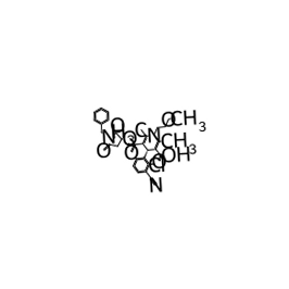 COCCN1C(C)=C(C(=O)O)[C@@H](c2cccc(C#N)c2Cl)C(C(=O)O[C@H]2CC(=O)N(Cc3ccccc3)C2=O)=C1C